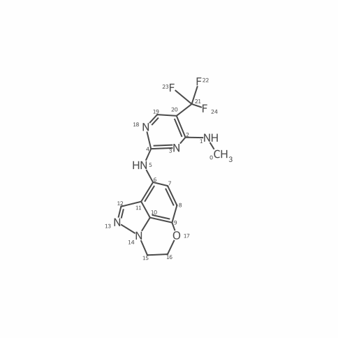 CNc1nc(Nc2ccc3c4c2cnn4CCO3)ncc1C(F)(F)F